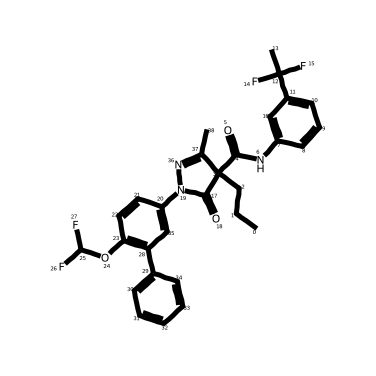 CCCC1(C(=O)Nc2cccc(C(C)(F)F)c2)C(=O)N(c2ccc(OC(F)F)c(-c3ccccc3)c2)N=C1C